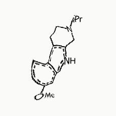 COc1ccc2c3c([nH]c2c1)CN(C(C)C)CC3